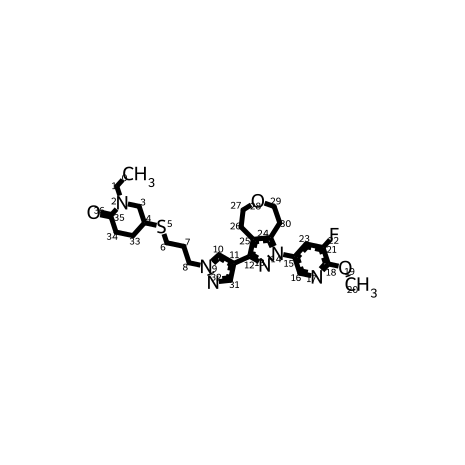 CCN1CC(SCCCn2cc(-c3nn(-c4cnc(OC)c(F)c4)c4c3CCOCC4)cn2)CCC1=O